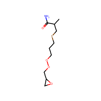 CC(CSCCCOOCC1CO1)C(N)=O